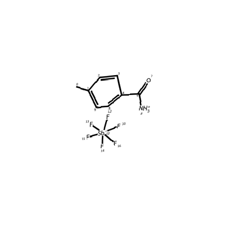 Cc1ccc(C([NH3+])=O)cc1.[F][Sb-]([F])([F])([F])([F])[F]